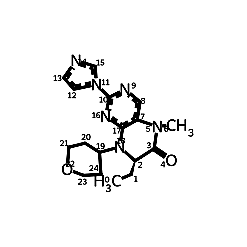 CC[C@@H]1C(=O)N(C)c2cnc(-n3ccnc3)nc2N1C1CCOCC1